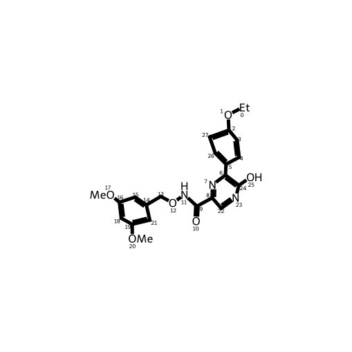 CCOc1ccc(-c2nc(C(=O)NOCc3cc(OC)cc(OC)c3)cnc2O)cc1